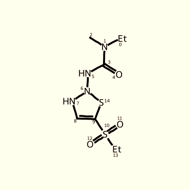 CCN(C)C(=O)NN1NC=C(S(=O)(=O)CC)S1